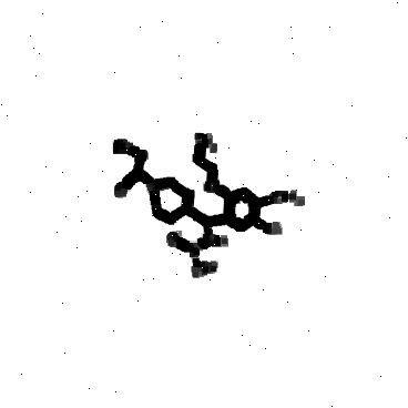 C=CCOc1cc(C)c(Cl)cc1[C@H](N[S@@+]([O-])C(C)(C)C)C1CCN(C(=O)OC(C)(C)C)CC1